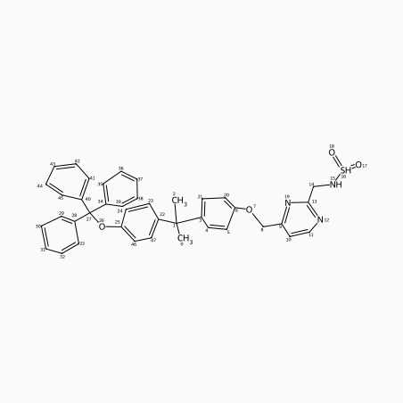 CC(C)(c1ccc(OCc2ccnc(CN[SH](=O)=O)n2)cc1)c1ccc(OC(c2ccccc2)(c2ccccc2)c2ccccc2)cc1